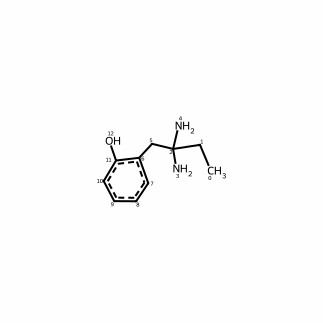 CCC(N)(N)Cc1ccccc1O